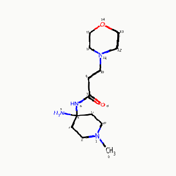 CN1CCC(N)(NC(=O)CCN2CCOCC2)CC1